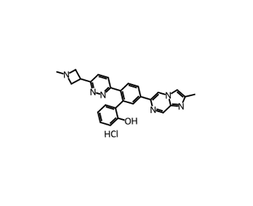 Cc1cn2cc(-c3ccc(-c4ccc(C5CN(C)C5)nn4)c(-c4ccccc4O)c3)ncc2n1.Cl